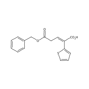 O=C(C/C=C(/C(=O)O)c1cccs1)OCc1ccccc1